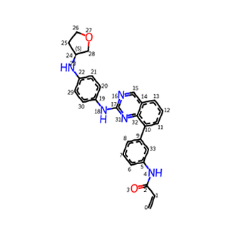 C=CC(=O)Nc1cccc(-c2cccc3cnc(Nc4ccc(N[C@H]5CCOC5)cc4)nc23)c1